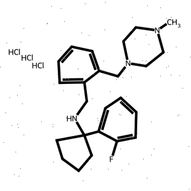 CN1CCN(Cc2ccccc2CNC2(c3ccccc3F)CCCC2)CC1.Cl.Cl.Cl